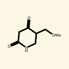 COCC1CNC(=O)CC1=O